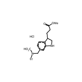 CCN(Cc1ccc2c(c1)NCC2CCC(=O)OC)C(=O)O.Cl